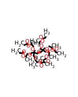 C=CC(=O)OC(C)COCC(COCC(C)OC(=O)C=C)(COCC(C)OC(=O)C=C)COCC(COCC(C)OC(=O)C=C)(COCC(C)OC(=O)C=C)COCC(C)OC(=O)C=C